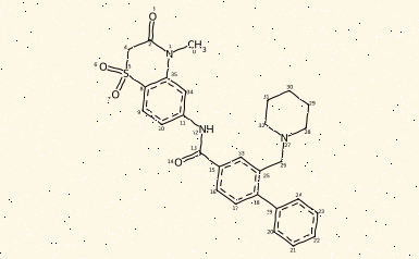 CN1C(=O)CS(=O)(=O)c2ccc(NC(=O)c3ccc(-c4ccccc4)c(CN4CCCCC4)c3)cc21